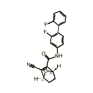 N#CC1=C(C(=O)Nc2ccc(-c3ccccc3F)c(F)c2)[C@@H]2CC[C@@H]1O2